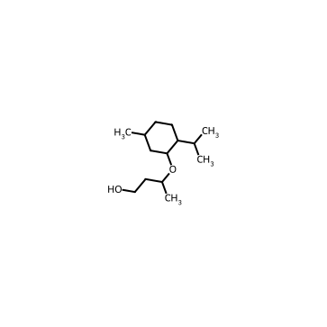 CC1CCC(C(C)C)C(OC(C)CCO)C1